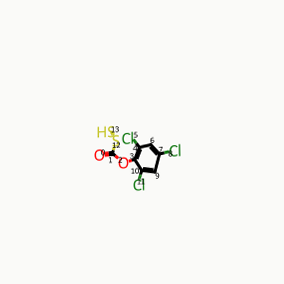 O=C(Oc1c(Cl)cc(Cl)cc1Cl)SS